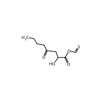 CCCCC(=O)CC(O)C(=O)OC=S